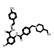 Cc1ccc(C=NNC(=O)c2cc(Br)ccc2NC(=O)c2ccc(CN3CCC(CO)CC3)cc2)cc1